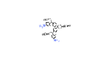 CCCCCCCCCCCC(c1ccc(C2(c3ccc(C(CCCCCCCCCCC)c4ccc(N)cc4C)cc3)CCC(CCCCCC)CC2)cc1)c1ccc(N)cc1C